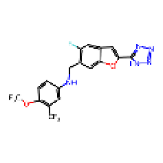 Fc1cc2cc(-c3nnn[nH]3)oc2cc1CNc1ccc(OC(F)(F)F)c(C(F)(F)F)c1